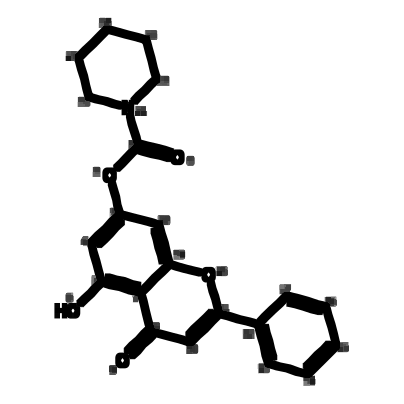 O=C(Oc1cc(O)c2c(=O)cc(-c3ccccc3)oc2c1)N1CCCCC1